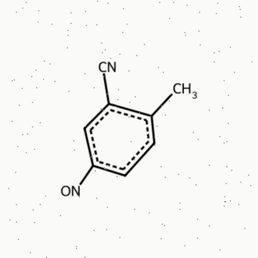 Cc1ccc(N=O)cc1C#N